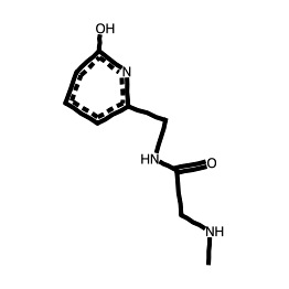 CNCC(=O)NCc1cccc(O)n1